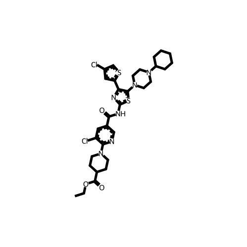 CCOC(=O)C1CCN(c2ncc(C(=O)Nc3nc(-c4cc(Cl)cs4)c(N4CCN(C5CCCCC5)CC4)s3)cc2Cl)CC1